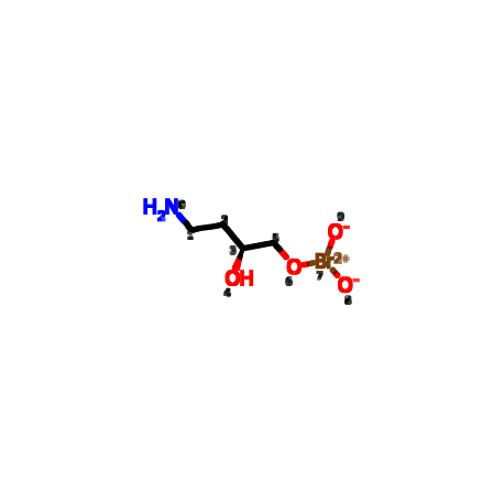 NCC[C@H](O)CO[Br+2]([O-])[O-]